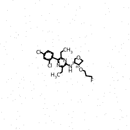 CCc1nc(-c2ccc(Cl)cc2Cl)c(CC)nc1N[C@@H]1COC[C@@H]1OCCCF